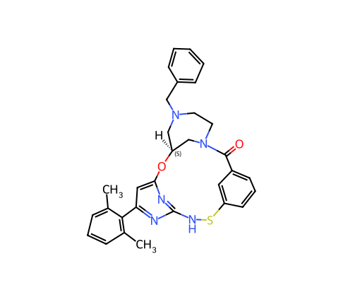 Cc1cccc(C)c1-c1cc2nc(n1)NSc1cccc(c1)C(=O)N1CCN(Cc3ccccc3)C[C@@H](C1)O2